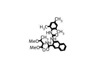 COC(=O)[C@@H](NC(=O)c1cc2ccccc2cc1NC(=O)Nc1c(C)cc(C)cc1C)C(C)OC